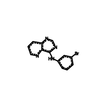 Brc1cccc(Nc2ncnc3cccnc23)c1